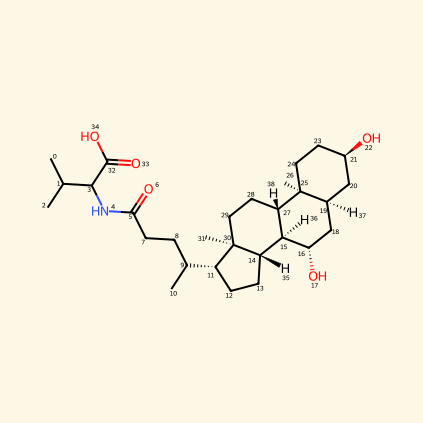 CC(C)C(NC(=O)CCC(C)[C@H]1CC[C@H]2[C@@H]3[C@@H](O)C[C@@H]4C[C@H](O)CC[C@]4(C)[C@H]3CC[C@]12C)C(=O)O